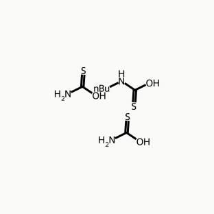 CCCCNC(O)=S.NC(O)=S.NC(O)=S